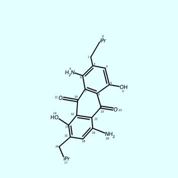 CC(C)Cc1cc(O)c2c(c1N)C(=O)c1c(O)c(CC(C)C)cc(N)c1C2=O